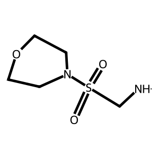 [NH]CS(=O)(=O)N1CCOCC1